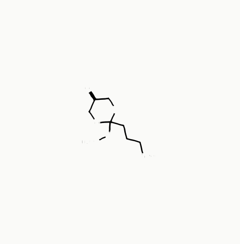 CCCCCCCCCCCCCC1(OCCCCCCCCCC)OCC(=O)CO1